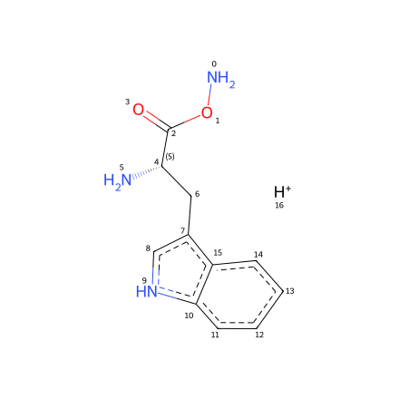 NOC(=O)[C@@H](N)Cc1c[nH]c2ccccc12.[H+]